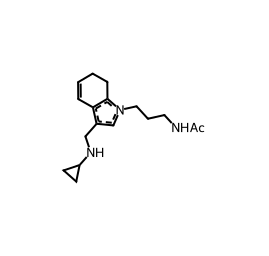 CC(=O)NCCCn1cc(CNC2CC2)c2c1CCC=C2